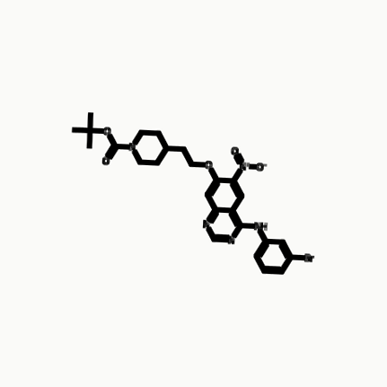 CC(C)(C)OC(=O)N1CCC(CCOc2cc3ncnc(Nc4cccc(Br)c4)c3cc2[N+](=O)[O-])CC1